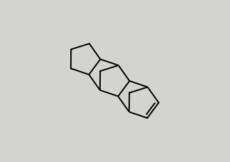 C1=CC2CC1C1C3CC(C4CCCC43)C21